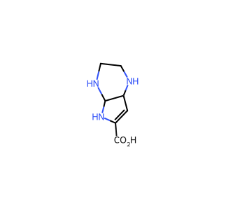 O=C(O)C1=CC2NCCNC2N1